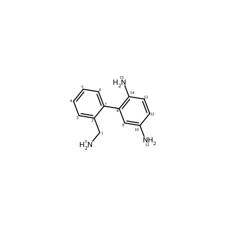 NCc1ccccc1-c1cc(N)ccc1N